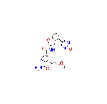 COc1ncc(-c2cccc3c2C[C@H](NC(=O)c2cnc(C(N)=O)c(CCCOC(C)C)c2)CO3)cn1